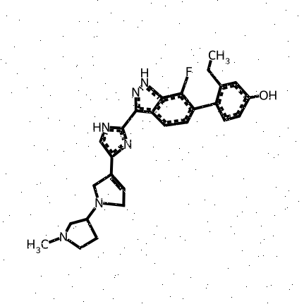 CCc1cc(O)ccc1-c1ccc2c(-c3nc(C4=CCN(C5CCN(C)C5)C4)c[nH]3)n[nH]c2c1F